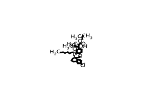 C=CCCCCCN1C[C@@]2(CCCc3cc(Cl)ccc32)COc2ccc([C@@](O)(C(=O)OC)[C@@H](C)C(=O)OCC(C)C)cc21